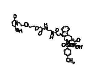 Cc1ccc(S(=O)(=O)N2Cc3c(c4ccccc4n3CC(=O)NCCNC(=O)COCCOCCN3C(=N)C=CC3=O)C[C@H]2C(=O)NO)cc1